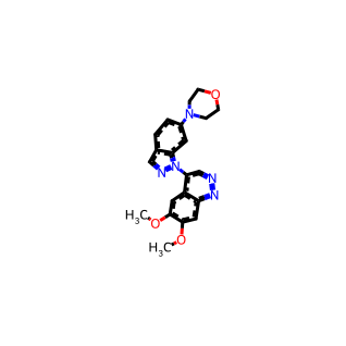 COc1cc2nncc(-n3ncc4ccc(N5CCOCC5)cc43)c2cc1OC